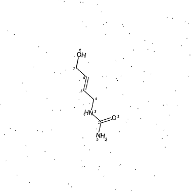 NC(=O)NCC=CCO